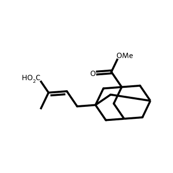 COC(=O)C12CC3CC(CC(CC=C(C)C(=O)O)(C3)C1)C2